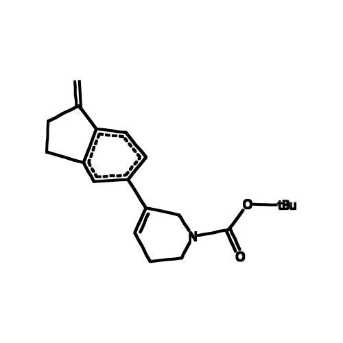 C=C1CCc2cc(C3=CCCN(C(=O)OC(C)(C)C)C3)ccc21